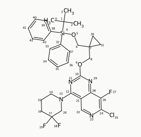 CC(C)(C)[Si](OCC1(COc2nc(N3CCCC(F)(F)C3)c3cnc(Cl)c(F)c3n2)CC1)(c1ccccc1)c1ccccc1